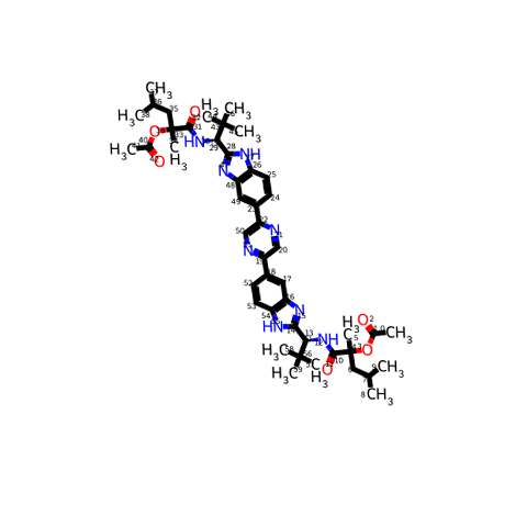 CC(=O)OC(C)(CC(C)C)C(=O)N[C@H](c1nc2cc(-c3cnc(-c4ccc5[nH]c([C@@H](NC(=O)C(C)(CC(C)C)OC(C)=O)C(C)(C)C)nc5c4)cn3)ccc2[nH]1)C(C)(C)C